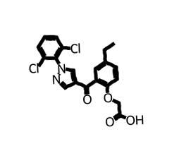 CCc1ccc(OCC(=O)O)c(C(=O)c2cnn(-c3c(Cl)cccc3Cl)c2)c1